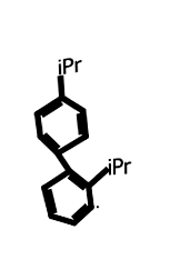 CC(C)c1ccc(-c2ccc[c]c2C(C)C)cc1